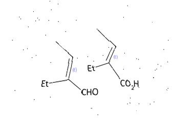 C/C=C(/C=O)CC.C/C=C(\CC)C(=O)O